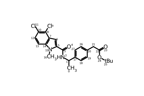 CC(NC(=O)c1cc2c(Cl)c(Cl)ccc2n1C)c1ccc(CC(=O)OC(C)(C)C)cc1